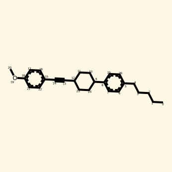 CCCCCc1ccc(C2CCC(C#Cc3ccc(OC)cc3)CC2)cc1